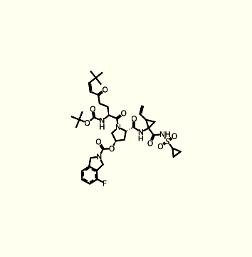 C=CC1CC1(NC(=O)[C@@H]1C[C@@H](OC(=O)N2Cc3cccc(F)c3C2)CN1C(=O)[C@H](CCC(=O)/C=C\C(C)(C)C)NC(=O)OC(C)(C)C)C(=O)NS(=O)(=O)C1CC1